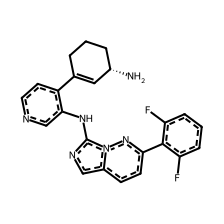 N[C@@H]1C=C(c2ccncc2Nc2ncc3ccc(-c4c(F)cccc4F)nn23)CCC1